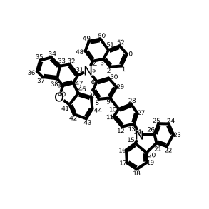 c1ccc2c(N(c3ccc(-c4ccc(-n5c6ccccc6c6ccccc65)cc4)cc3)c3cc4ccccc4c4oc5ccccc5c34)cccc2c1